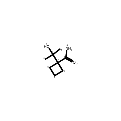 CC(C)(O)C1(C(N)=O)CCC1